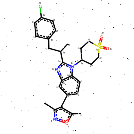 Cc1noc(C)c1-c1ccc2c(c1)nc(C(C)Cc1ccc(Cl)cc1)n2C1CCS(=O)(=O)CC1